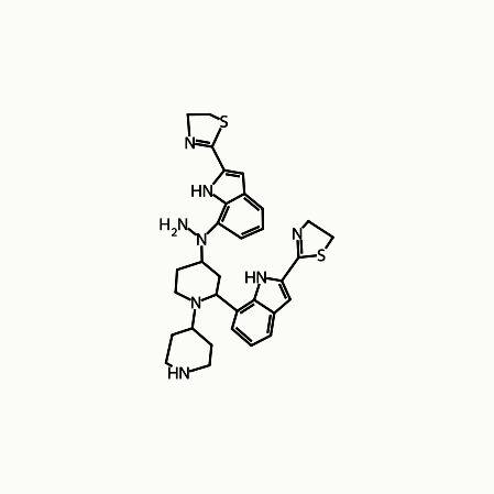 NN(c1cccc2cc(C3=NCCS3)[nH]c12)C1CCN(C2CCNCC2)C(c2cccc3cc(C4=NCCS4)[nH]c23)C1